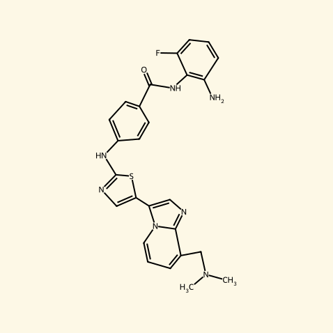 CN(C)Cc1cccn2c(-c3cnc(Nc4ccc(C(=O)Nc5c(N)cccc5F)cc4)s3)cnc12